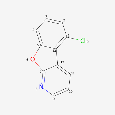 Clc1cccc2oc3ncccc3c12